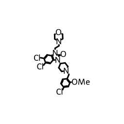 COc1cc(Cl)ccc1CN1CCC(n2c(=O)n(CCN3CCOCC3)c3cc(Cl)c(Cl)cc32)CC1